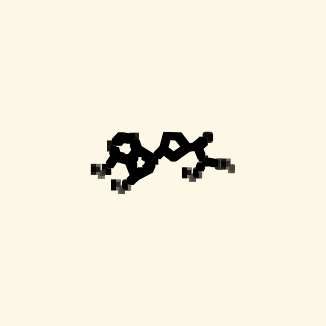 Cc1cn(C2CCC(C(=O)N(C)C)C2)c2ncnc(N)c12